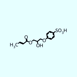 CC=CC(=O)OCC(O)COc1ccc(S(=O)(=O)O)cc1